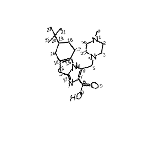 CN1CCN(Cc2c(C(=O)O)nc3sc4c(n23)CCC(C(C)(C)C)C4)CC1